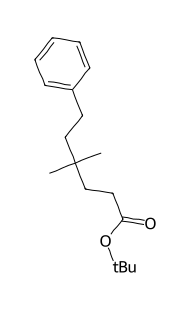 CC(C)(CCC(=O)OC(C)(C)C)CCc1ccccc1